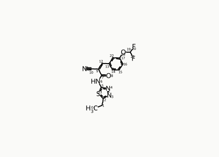 CCc1nnc(NC(=O)/C(C#N)=C\c2cccc(OC(F)F)c2)s1